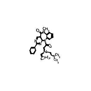 CCN(CCN(C)C)CC(=O)N1c2ccccc2N(C)C(=O)c2cnc(-c3ccccc3)nc21